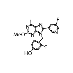 COc1nc(C)c2nc(-c3cncc(F)c3)n(Cc3ccc(O)cc3F)c2n1